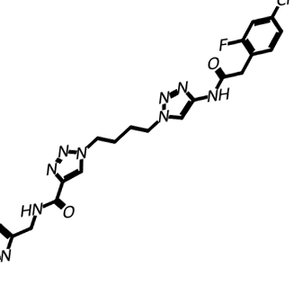 O=C(Cc1ccc(Cl)cc1F)Nc1cn(CCCCn2cc(C(=O)NCc3ccccn3)nn2)nn1